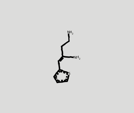 NCCC(N)=Cc1cccs1